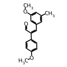 COc1ccc(C(C=O)=Cc2cc(C)cc(OC)c2)cc1